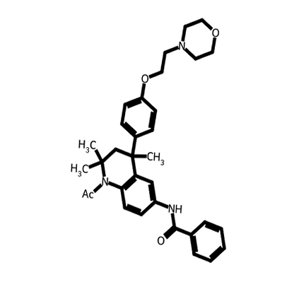 CC(=O)N1c2ccc(NC(=O)c3ccccc3)cc2C(C)(c2ccc(OCCN3CCOCC3)cc2)CC1(C)C